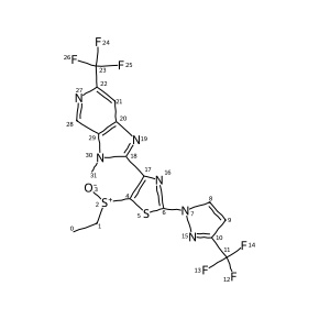 CC[S+]([O-])c1sc(-n2ccc(C(F)(F)F)n2)nc1-c1nc2cc(C(F)(F)F)ncc2n1C